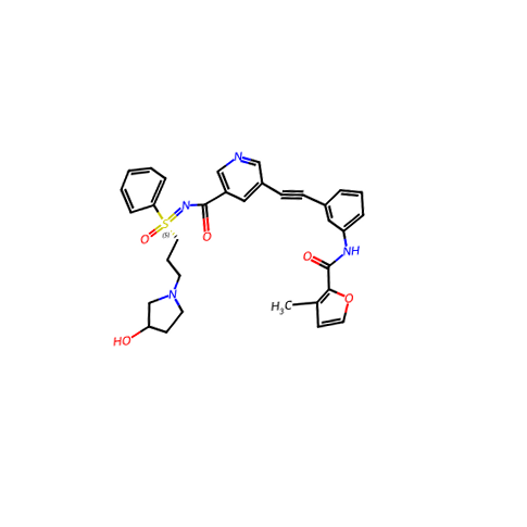 Cc1ccoc1C(=O)Nc1cccc(C#Cc2cncc(C(=O)N=[S@](=O)(CCCN3CCC(O)C3)c3ccccc3)c2)c1